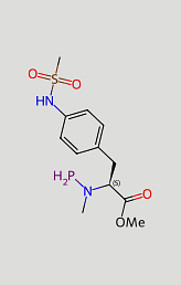 COC(=O)[C@H](Cc1ccc(NS(C)(=O)=O)cc1)N(C)P